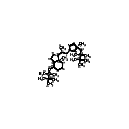 C[C@H](C[C@H]1C=C[C@@](C)(O[Si](C)(C)C(C)(C)C)C1)[C@H]1CCC2C(O[Si](C)(C)C(C)(C)C)CCC[C@@]21C